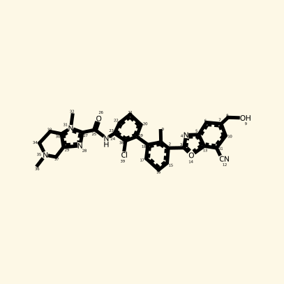 Cc1c(-c2nc3cc(CO)cc(C#N)c3o2)cccc1-c1cccc(NC(=O)c2nc3c(n2C)CCN(C)C3)c1Cl